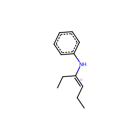 CC/C=C(\CC)Nc1ccccc1